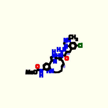 C=N/N=C\N(N)c1ccc(Cl)cc1/C=C/C(=O)N[C@H]1C/C=C/CCCNc2cc(NC(=O)OC)ccc2-c2c[nH]c1n2